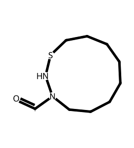 O=[C]N1CCCCCCCCSN1